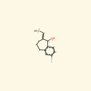 O=C(O)/C=C1\CCCc2cc(F)ccc2C1O